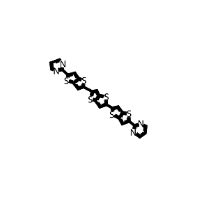 c1cnc(-c2cc3sc(-c4cc5sc(-c6cc7sc(-c8ncccn8)cc7s6)cc5s4)cc3s2)nc1